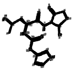 CCC1OCC(=O)C1NC(=O)[C@H](CC(C)C(C)C)NC(=O)Oc1cc[nH]c1